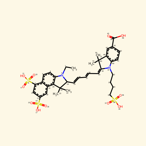 CCN1c2ccc3c(S(=O)(=O)O)cc(S(=O)(=O)O)cc3c2C(C)(C)C1C=CC=CC=C1N(CCCCS(=O)(=O)O)c2ccc(C(=O)O)cc2C1(C)C